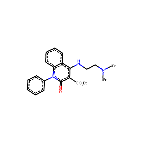 CCOC(=O)c1c(NCCN(C(C)C)C(C)C)c2ccccc2n(-c2ccccc2)c1=O